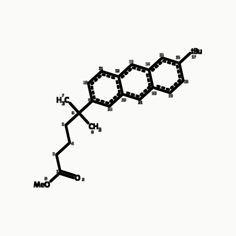 COC(=O)CCCC(C)(C)c1ccc2cc3cc(C(C)(C)C)ccc3cc2c1